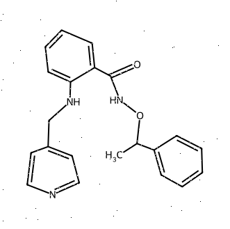 CC(ONC(=O)c1ccccc1NCc1ccncc1)c1ccccc1